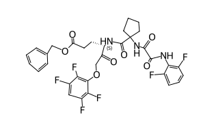 O=C(CC[C@H](NC(=O)C1(NC(=O)C(=O)Nc2c(F)cccc2F)CCCC1)C(=O)COc1c(F)c(F)cc(F)c1F)OCc1ccccc1